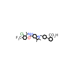 Cc1c(C)n(Cc2ccc(-c3ccccc3C(=O)O)cc2)c2ccc(C(=O)NC(C)c3cccc(C(F)(F)F)c3Cl)cc12